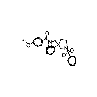 CC(C)Oc1ccc(C(=O)NCC2(c3ccccc3)CCCN(S(=O)(=O)c3ccccc3)C2)cc1